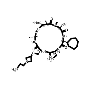 CCCCCC[C@H]1OC[C@@H](C)NC(=O)[C@H](COC2CN(CCN)C2)NC(=O)[C@H](CN)NC(=O)[C@H](C2CCCCCC2)NC(=O)[C@H](CCC)N(C)C(=O)[C@@H]1C